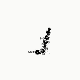 [2H]C([2H])(O[C@@H]1CCN([C@@H]2CCN(c3ncc(C4CC4)cn3)C[C@H]2O)C1=O)[C@H](C)Nc1cnn(Cc2ccc(OC)cc2)c(=O)c1C(F)(F)F